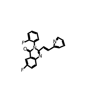 O=c1c2cc(F)ccc2nc(C=Cc2ccccn2)n1-c1ccccc1F